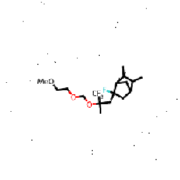 COCCOCOC(C)(CC1(F)CC2CC1C(C)C2C)C(F)(F)F